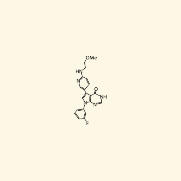 COCCNc1ccc(-c2cn(-c3cccc(F)c3)c3nc[nH]c(=O)c23)cn1